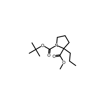 CCCC1(C(=O)OC)CCCN1C(=O)OC(C)(C)C